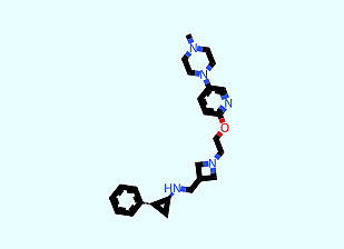 CN1CCN(c2ccc(OCCN3CC(CN[C@H]4C[C@@H]4c4ccccc4)C3)nc2)CC1